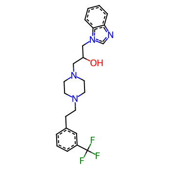 OC(CN1CCN(CCc2cccc(C(F)(F)F)c2)CC1)Cn1cnc2ccccc21